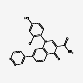 NC(=O)c1cn(-c2ccc(O)cc2Cl)c2cc(-c3ccnnc3)ccc2c1=O